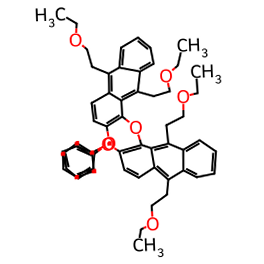 CCOCCc1c2ccccc2c(CCOCC)c2c(Oc3c(Oc4ccccc4)ccc4c(CCOCC)c5ccccc5c(CCOCC)c34)c(Oc3ccccc3)ccc12